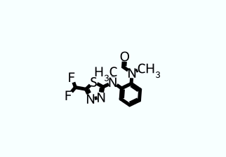 CN(C=O)c1ccccc1N(C)c1nnc(C(F)F)s1